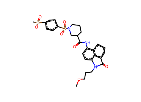 COCCCN1C(=O)c2cccc3c(NC(=O)C4CCCN(S(=O)(=O)c5ccc(S(C)(=O)=O)cc5)C4)ccc1c23